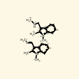 CN=Cc1c(C)n(C)c2ccccc12.CNCc1c(C)n(C)c2ccccc12